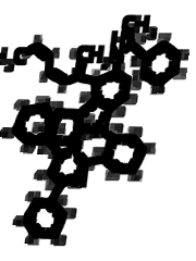 C=C(/C=C\C=C/C)c1c(NC(C)c2ccccc2)ccc2c1c1ccccc1n2-c1ccccc1-c1nc(-c2ccccc2)cc(-c2ccccc2)n1